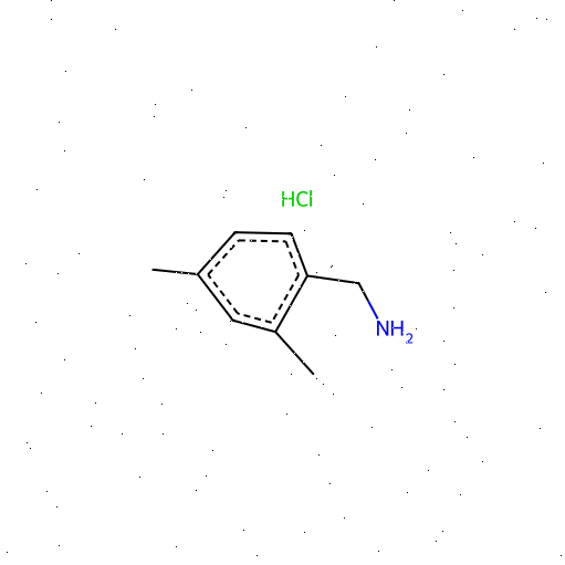 Cc1ccc(CN)c(C)c1.Cl